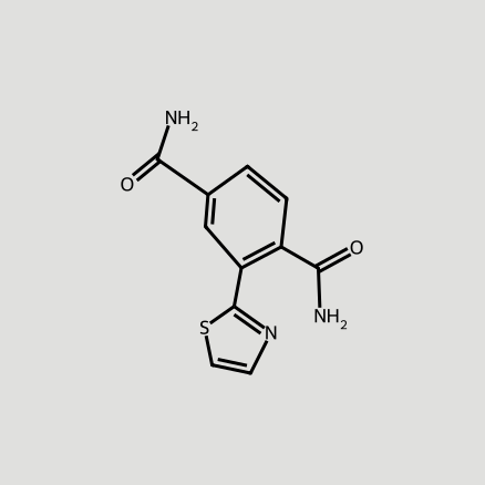 NC(=O)c1ccc(C(N)=O)c(-c2nccs2)c1